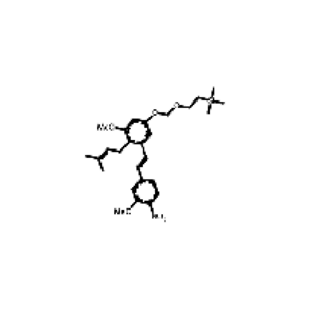 COc1cc(C=Cc2cc(OCOCC[Si](C)(C)C)cc(OC)c2CC=C(C)C)ccc1[N+](=O)[O-]